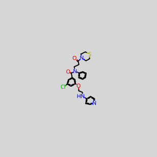 O=C(CCN(C(=O)c1cc(Cl)cc(OCCNc2ccncc2)c1)c1ccccc1)N1CCSCC1